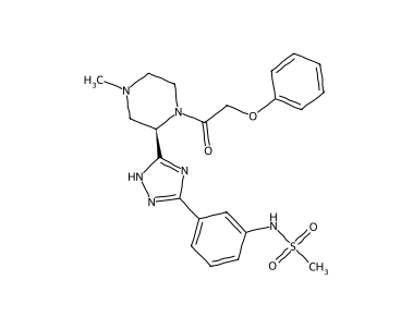 CN1CCN(C(=O)COc2ccccc2)[C@@H](c2nc(-c3cccc(NS(C)(=O)=O)c3)n[nH]2)C1